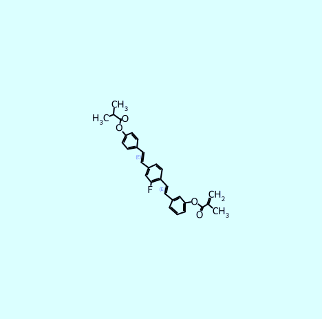 C=C(C)C(=O)Oc1cccc(/C=C/c2ccc(/C=C/c3ccc(OC(=O)C(C)C)cc3)cc2F)c1